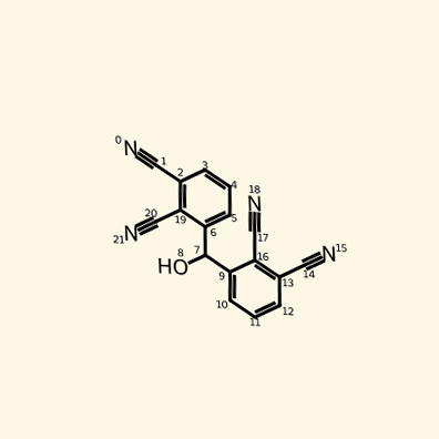 N#Cc1cccc(C(O)c2cccc(C#N)c2C#N)c1C#N